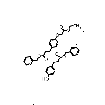 CCOC(=O)COc1ccc(CCC(=O)OCc2ccccc2)cc1.O=C(CCc1ccc(O)cc1)OCc1ccccc1